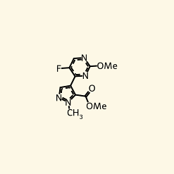 COC(=O)c1c(-c2nc(OC)ncc2F)cnn1C